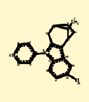 CN1C2CCC1c1c(n(-c3ccncc3)c3ccc(Cl)cc13)C2